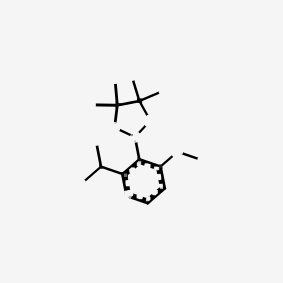 COc1ccnc(C(C)C)c1B1OC(C)(C)C(C)(C)O1